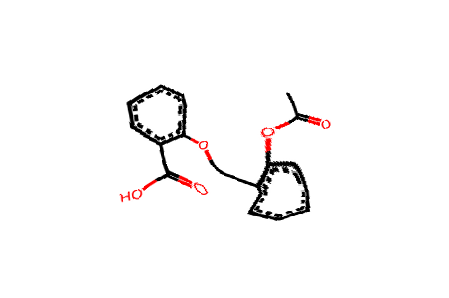 CC(=O)Oc1ccccc1COc1ccccc1C(=O)O